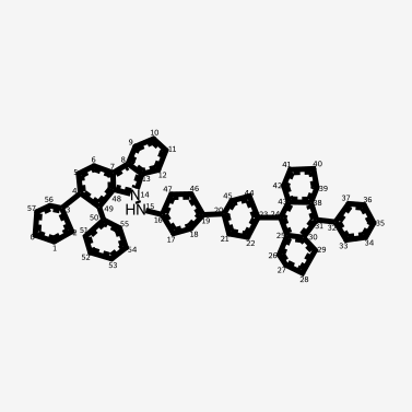 c1ccc(-c2ccc3c4ccccc4n(Nc4ccc(-c5ccc(-c6c7ccccc7c(-c7ccccc7)c7ccccc67)cc5)cc4)c3c2-c2ccccc2)cc1